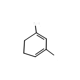 NC1=CC(Cl)=CCC1